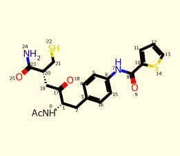 CC(=O)N[C@@H](Cc1ccc(NC(=O)c2cccs2)cc1)C(=O)C[C@@H](CS)C(N)=O